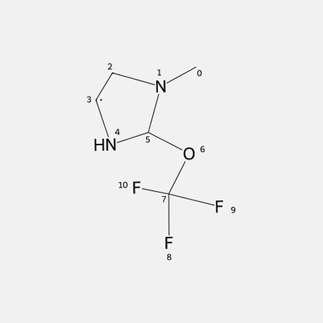 CN1C[CH]NC1OC(F)(F)F